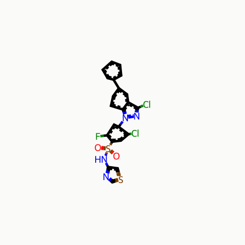 O=S(=O)(Nc1cscn1)c1cc(Cl)c(-n2nc(Cl)c3cc(-c4ccccc4)ccc32)cc1F